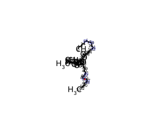 CCCCC/C=C\C/C=C\C/C=C\CCCCC(=O)OC[C@H](COP(=O)(O)OCC[N+](C)(C)C)OC(=O)CCCC/C=C\C/C=C\C/C=C\CCCCC